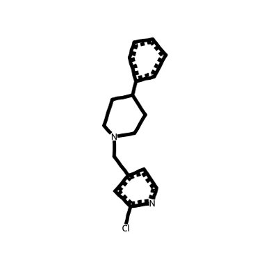 Clc1cc(CN2CCC(c3ccccc3)CC2)ccn1